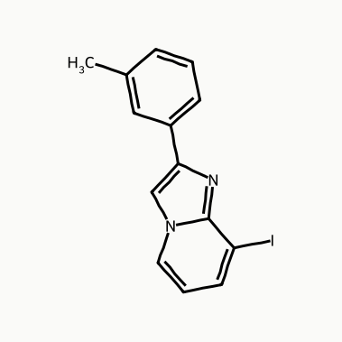 Cc1cccc(-c2cn3cccc(I)c3n2)c1